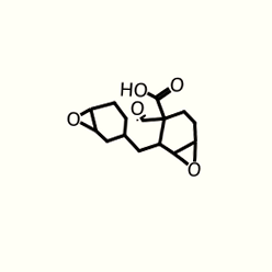 O=[C]C1(C(=O)O)CCC2OC2C1CC1CCC2OC2C1